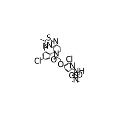 Cc1nn2c3c(nc2s1)CCN(C(=O)COc1ccc(NS(=O)(=O)N(C)C)nc1Cl)C3c1ccc(Cl)cc1F